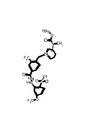 CCS(=O)(=O)c1ccc(OC(F)(F)F)cc1NNC(=O)c1ccc(CN2CCC[C@H](N(C)C(=O)OC(C)(C)C)C2)c(C(F)(F)F)c1